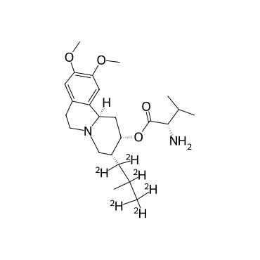 [2H]C([2H])([2H])C([2H])(C)C([2H])([2H])[C@@H]1CN2CCc3cc(OC)c(OC)cc3[C@H]2C[C@@H]1OC(=O)[C@@H](N)C(C)C